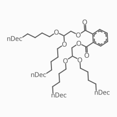 CCCCCCCCCCCCCCOC(COC(=O)c1ccccc1C(=O)OCC(OCCCCCCCCCCCCCC)OCCCCCCCCCCCCCC)OCCCCCCCCCCCCCC